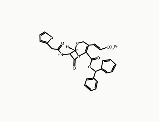 CCOC(=O)C=CC1=C(C(=O)OC(c2ccccc2)c2ccccc2)N2C(=O)C(NC(=O)Cc3cccs3)[C@@H]2SC1